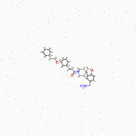 NCc1ccc2c(c1)C1(CCN(C(=O)C=Cc3cccc(OCCc4ccccc4)c3)CC1)CO2